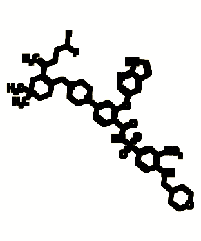 C=C(CCC(F)F)C1=C(CN2CCN(c3ccc(C(=O)NS(=O)(=O)c4ccc(NCC5CCOCC5)c([N+](=O)[O-])c4)c(Oc4cnc5[nH]ccc5c4)c3)CC2)CCC(C)(C)C1